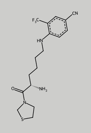 N#Cc1ccc(NCCCC[C@H](N)C(=O)N2CCSC2)c(C(F)(F)F)c1